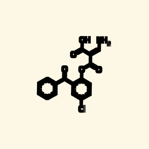 NC=C(C(=O)O)C(=O)Oc1ccc(Cl)cc1C(=O)c1ccccc1